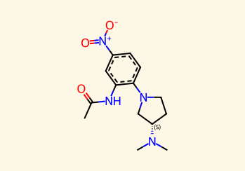 CC(=O)Nc1cc([N+](=O)[O-])ccc1N1CC[C@H](N(C)C)C1